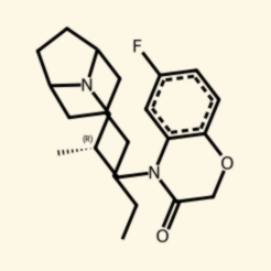 CCCCC1CC2CCC(C1)N2C[C@@H](C)CN1C(=O)COc2ccc(F)cc21